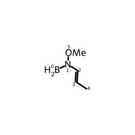 BN(C=CC)OC